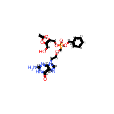 C=C1OC(CO)=C(COP(=O)(COCCn2cnc3c(=O)[nH]c(N)nc32)OCc2ccccc2)O1